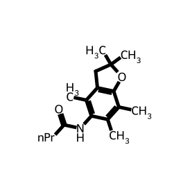 CCCC(=O)Nc1c(C)c(C)c2c(c1C)CC(C)(C)O2